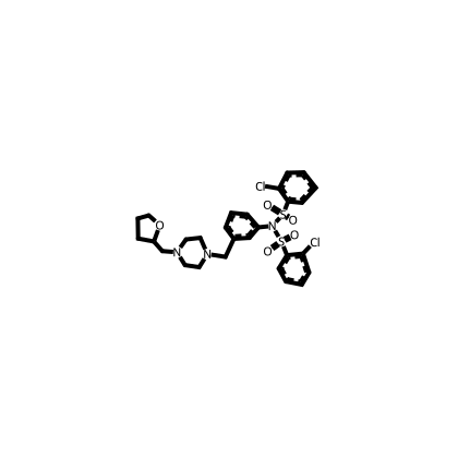 O=S(=O)(c1ccccc1Cl)N(c1cccc(CN2CCN(CC3CCCO3)CC2)c1)S(=O)(=O)c1ccccc1Cl